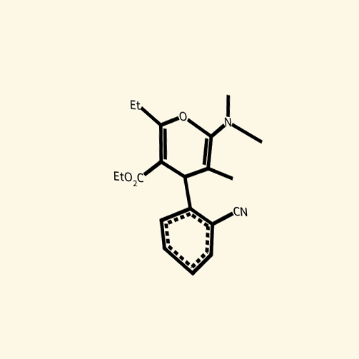 CCOC(=O)C1=C(CC)OC(N(C)C)=C(C)C1c1ccccc1C#N